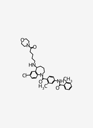 Cc1ccccc1C(=O)Nc1ccc(C(=O)N2CCCC(NCCCCC(=O)N3CCOCC3)c3cc(Cl)ccc32)c(C)c1